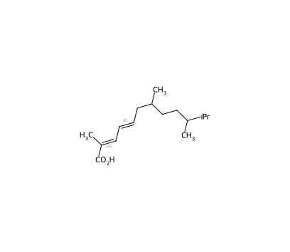 C/C(=C\C=C\CC(C)CCC(C)C(C)C)C(=O)O